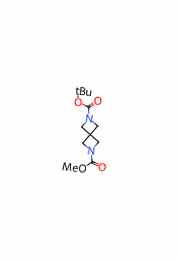 COC(=O)N1CC2(C1)CN(C(=O)OC(C)(C)C)C2